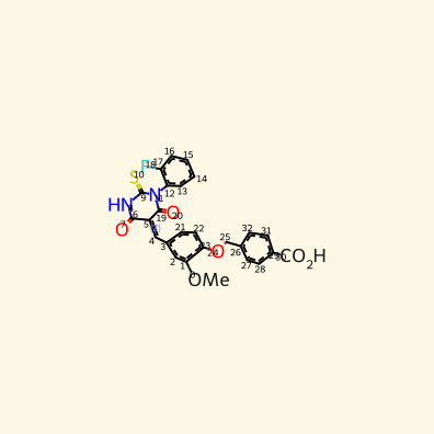 COc1cc(/C=C2/C(=O)NC(=S)N(c3ccccc3F)C2=O)ccc1OCc1ccc(C(=O)O)cc1